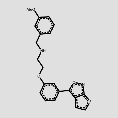 COc1cccc(CNCCOc2cccc(-c3onc4sccc34)c2)c1